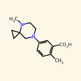 Cc1ccc(N2CCN(C)C3(CC3)C2)cc1C(=O)O